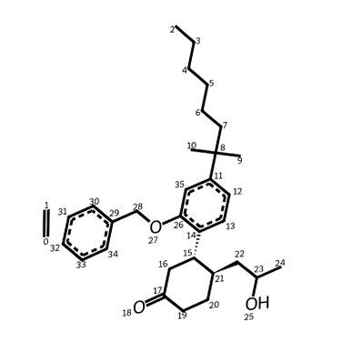 C=C.CCCCCCC(C)(C)c1ccc([C@H]2CC(=O)CC[C@@H]2CC(C)O)c(OCc2ccccc2)c1